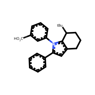 CC(C)(C)C1CCCc2cc(-c3ccccc3)n(-c3cccc(C(=O)O)c3)c21